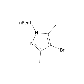 CCCCCn1nc(C)c(Br)c1C